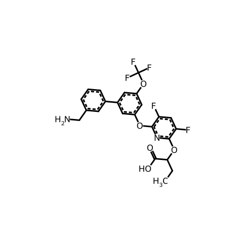 CCC(Oc1nc(Oc2cc(OC(F)(F)F)cc(-c3cccc(CN)c3)c2)c(F)cc1F)C(=O)O